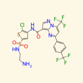 NCCNS(=O)(=O)c1cc(NC(=O)c2cnn3c(C(F)(F)F)cc(-c4ccc(C(F)(F)F)cc4)nc23)c(Cl)s1